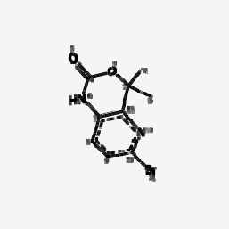 CC1(C)OC(=O)Nc2ccc(Br)nc21